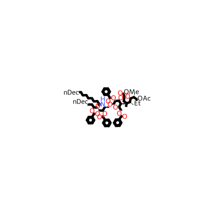 CCCCCCCCCCCCCCCCCC(=O)N[C@@H](CO[C@@H]1OC(COC(=O)c2ccccc2)[C@H](C)[C@H](O[C@]2(C(=O)OC)CC(C)[C@@H](C)[C@H]([C@H](C)[C@@H](CC)OC(C)=O)O2)C1OC(=O)c1ccccc1)[C@H](OC(=O)c1ccccc1)[C@@H](CCCCCCCCCCCCCC)OC(=O)c1ccccc1